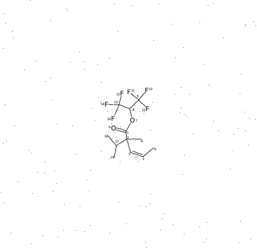 C/C=C\C(C)(C(=O)OC(C(F)(F)F)C(F)(F)F)C(C)C